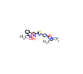 CC(=NO)c1ccccc1C1CC(c2csc(C3CCN(C(=O)Cn4nc(C(F)(F)F)cc4C)CC3)n2)=NO1